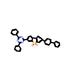 O=S1(=O)c2cc(-c3ccc(-c4ccccc4)cc3)ccc2-c2ccc(-c3nc(-c4ccccc4)nc(-c4ccccc4)n3)cc21